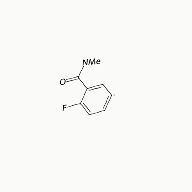 CNC(=O)c1c[c]ccc1F